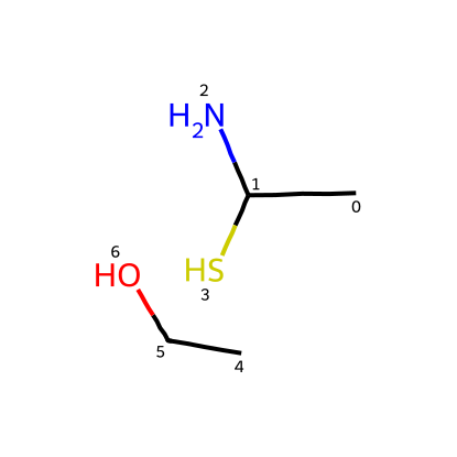 CC(N)S.CCO